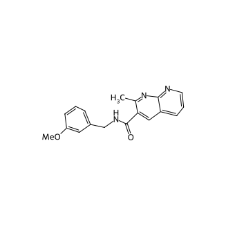 COc1cccc(CNC(=O)c2cc3cccnc3nc2C)c1